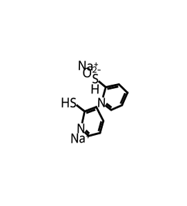 Sc1ccccn1.Sc1ccccn1.[Na+].[Na+].[O-2]